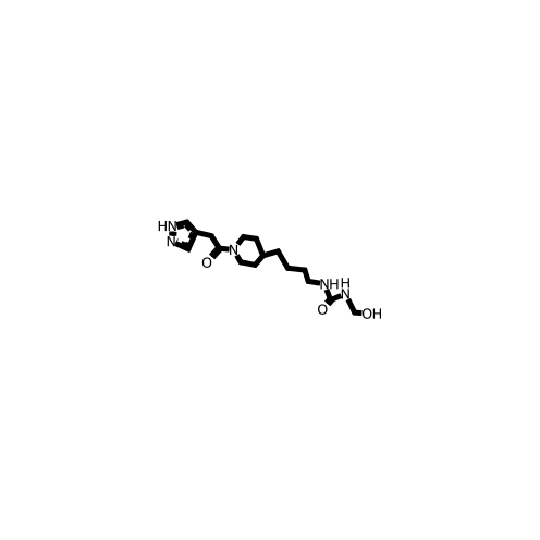 O=C(NCO)NCCCCC1CCN(C(=O)Cc2cn[nH]c2)CC1